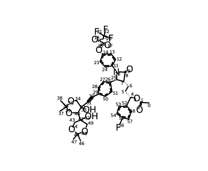 CC(=O)O[C@@H](CC[C@H]1C(=O)N(c2ccc(OS(=O)(=O)C(F)(F)F)cc2)[C@@H]1c1ccc(C#CC2(O)COC(C)(C)OC2C2(O)COC(C)(C)OC2)cc1)c1ccc(F)cc1